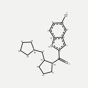 O=C(c1cc2cc(Cl)ccc2o1)N1CCCC1CN1CCCC1